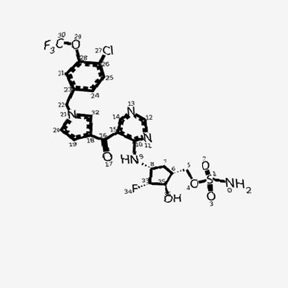 NS(=O)(=O)OC[C@H]1C[C@@H](Nc2ncncc2C(=O)c2ccn(Cc3ccc(Cl)c(OC(F)(F)F)c3)c2)[C@@H](F)[C@@H]1O